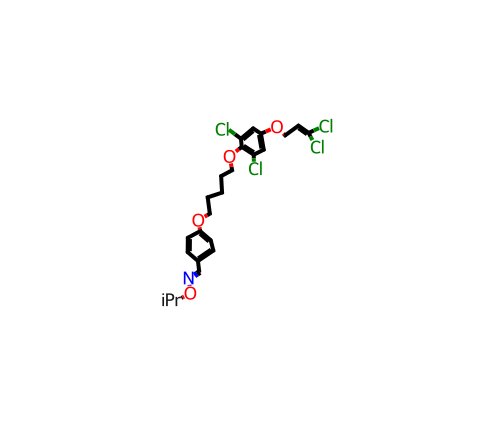 CC(C)ON=Cc1ccc(OCCCCCOc2c(Cl)cc(OCC=C(Cl)Cl)cc2Cl)cc1